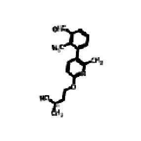 Cc1nc(OCC[C@@H](C)O)ccc1-c1cccc(C=O)c1C